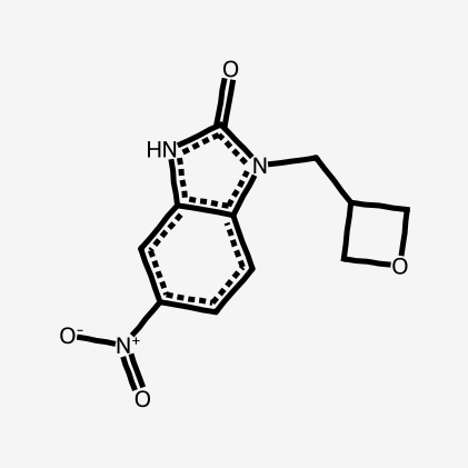 O=c1[nH]c2cc([N+](=O)[O-])ccc2n1CC1COC1